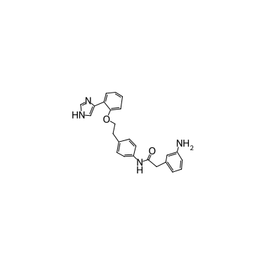 Nc1cccc(CC(=O)Nc2ccc(CCOc3ccccc3-c3c[nH]cn3)cc2)c1